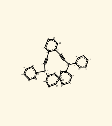 C(#CP(c1ccccc1)c1ccccc1)c1ccccc1C#CP(c1ccccc1)c1ccccc1